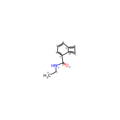 CCNC(=O)c1cccc2c1=CC=2